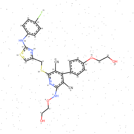 N#Cc1c(NOCCO)nc(SCc2csc(Nc3ccc(F)cc3)n2)c(C#N)c1-c1ccc(OCCO)cc1